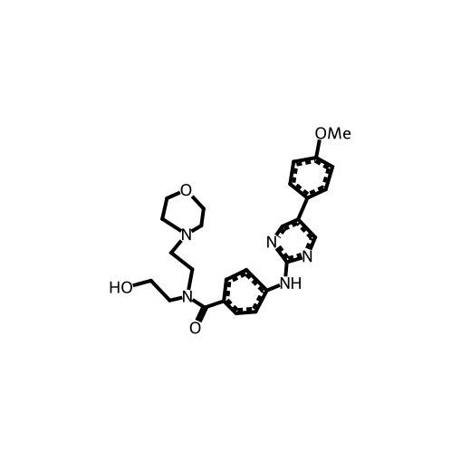 COc1ccc(-c2cnc(Nc3ccc(C(=O)N(CCO)CCN4CCOCC4)cc3)nc2)cc1